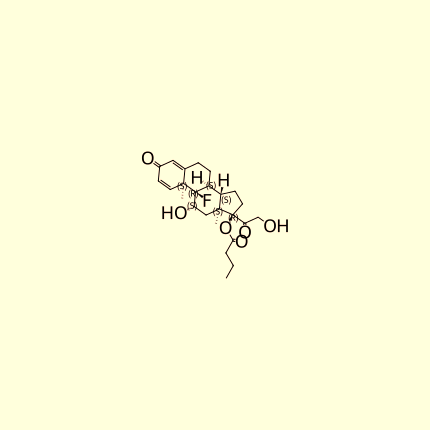 CCCC(=O)O[C@]1(C(=O)CO)CC[C@H]2[C@@H]3CCC4=CC(=O)C=C[C@]4(C)[C@@]3(F)[C@@H](O)C[C@@]21C